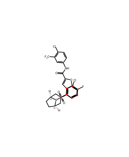 O=C(Nc1ccc(Cl)c(C(F)(F)F)c1)c1cc2c(N3C[C@H]4CC[C@@H](C3)N4S(=O)(=O)c3ccc(F)c(Cl)c3)cccc2o1